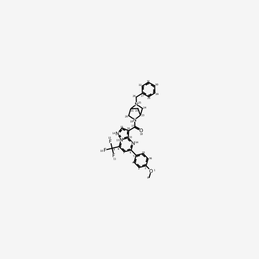 COc1ccc(-c2cc(C(F)(F)F)n3ncc(C(=O)N4CC5CC4CN5Cc4ccccc4)c3n2)cc1